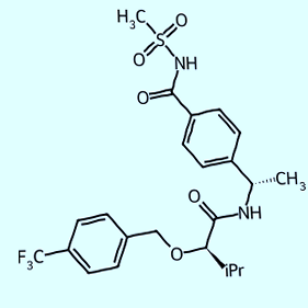 CC(C)[C@@H](OCc1ccc(C(F)(F)F)cc1)C(=O)N[C@@H](C)c1ccc(C(=O)NS(C)(=O)=O)cc1